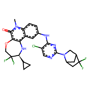 Cn1c(=O)c2c(c3cc(Nc4nc(N5CC6CC5CC6(F)F)ncc4Cl)ccc31)N[C@@H](C1CC1)C(F)(F)CO2